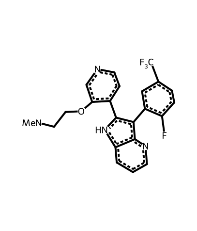 CNCCOc1cnccc1-c1[nH]c2cccnc2c1-c1cc(C(F)(F)F)ccc1F